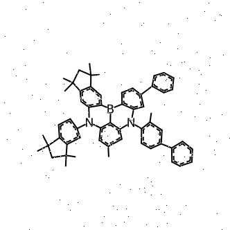 Cc1cc2c3c(c1)N(c1ccc(-c4ccccc4)cc1C)c1cc(-c4ccccc4)ccc1B3c1cc3c(cc1N2c1ccc2c(c1)C(C)(C)CC2(C)C)C(C)(C)CC3(C)C